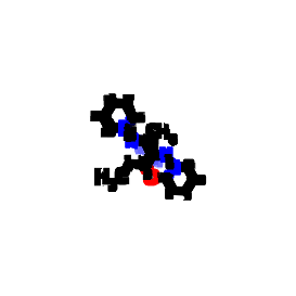 CCC(=O)C(=N\N1CCCCC1)/C(C)=N/N1CCCCC1